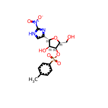 Cc1ccc(S(=O)(=O)O[C@H]2[C@@H](O)[C@H](c3c[nH]c([N+](=O)[O-])n3)O[C@@H]2CO)cc1